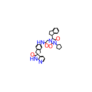 O=C(CN1C(=O)N(C2CCCC2)C(=O)C1C1CCc2ccccc21)Nc1ccc2c(c1)C[C@@]1(C2)C(=O)Nc2ncccc21